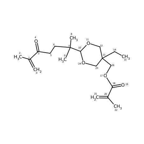 C=C(C)C(=O)CCC(C)(C)C1OCC(CC)(COC(=O)C(=C)C)CO1